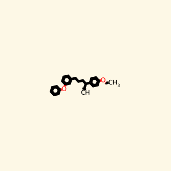 C#CC(CCCc1cccc(Oc2ccccc2)c1)c1ccc(OCC)cc1